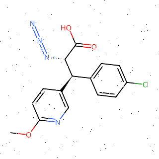 COc1ccc([C@H](c2ccc(Cl)cc2)[C@H](N=[N+]=[N-])C(=O)O)cn1